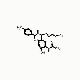 CCCCCC(NC(C)c1ccc(C)cc1)c1ccc(O)c(NC(C)=O)c1